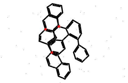 c1ccc(-c2ccccc2-c2c(-c3ccccc3)cccc2N(c2ccccc2)c2cccc(-c3ccc4ccccc4c3)c2)cc1